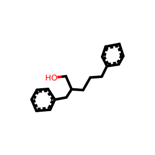 OCC(CCCc1ccccc1)Cc1ccccc1